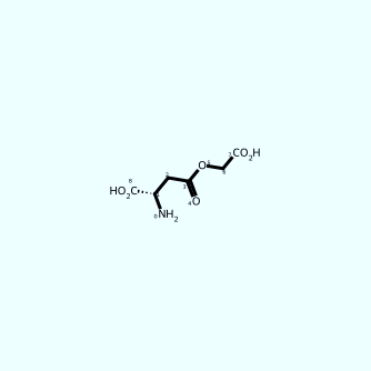 N[C@@H](CC(=O)OCC(=O)O)C(=O)O